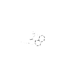 CCCCc1ccc2ccccc2c1C(=O)O.N